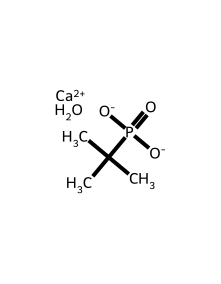 CC(C)(C)P(=O)([O-])[O-].O.[Ca+2]